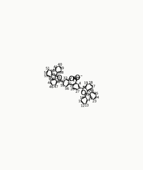 O=[N+]([O-])c1cc(COC(c2ccccc2)(c2ccccc2)c2ccccc2)ccc1-c1ccc(COC(c2ccccc2)(c2ccccc2)c2ccccc2)cc1